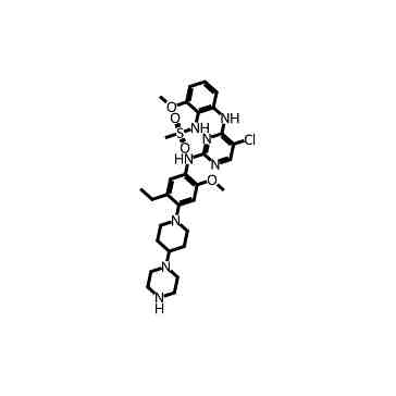 CCc1cc(Nc2ncc(Cl)c(Nc3cccc(OC)c3NS(C)(=O)=O)n2)c(OC)cc1N1CCC(N2CCNCC2)CC1